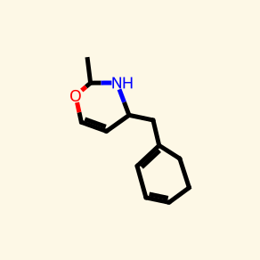 CC1NC(CC2=CC=CCC2)C=CO1